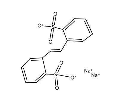 O=S(=O)([O-])c1ccccc1C=Cc1ccccc1S(=O)(=O)[O-].[Na+].[Na+]